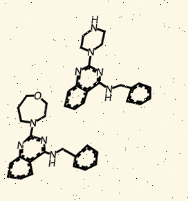 c1ccc(CNc2nc(N3CCCOCC3)nc3ccccc23)cc1.c1ccc(CNc2nc(N3CCNCC3)nc3ccccc23)cc1